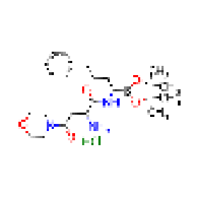 CC1(C)OB([C@H](CCCc2ccccc2)NC(=O)C(N)CC(=O)N2CCOCC2)OC1(C)C.Cl